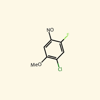 COc1cc(N=O)c(F)cc1Cl